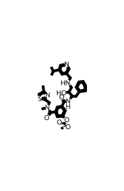 Cc1csc(CN(C)C(=O)c2cc(OS(C)(=O)=O)cc(C(=O)NC(Cc3ccccc3)C(O)CNCc3cncc(C(C)C)c3)c2)n1